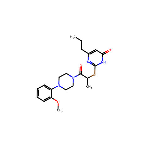 CCCc1cc(=O)[nH]c(SC(C)C(=O)N2CCN(c3ccccc3OC)CC2)n1